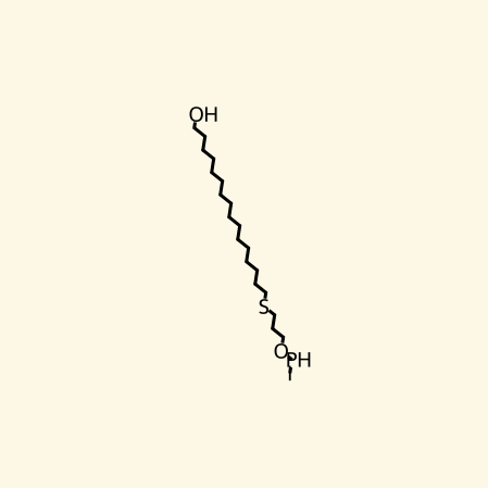 OCCCCCCCCCCCCCCCCSCCCOPI